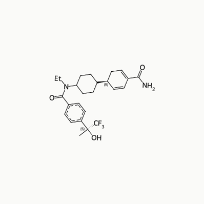 CCN(C(=O)c1ccc([C@](C)(O)C(F)(F)F)cc1)C1CCC([C@@H]2C=CC(C(N)=O)=CC2)CC1